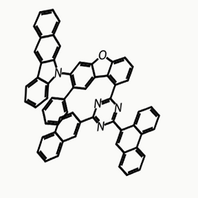 c1ccc(-c2cc3c(cc2-n2c4ccccc4c4cc5ccccc5cc42)oc2cccc(-c4nc(-c5ccc6ccccc6c5)nc(-c5cc6ccccc6c6ccccc56)n4)c23)cc1